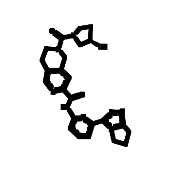 O=C(Nc1cccc(-c2nnc3n2CCC3)n1)c1cc2c(cn1)CCN(C(=O)N1CC[C@@H](O)C1)C2